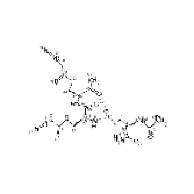 CC(=O)N[C@@H](CCC(=O)N[C@@H](CCC(=O)C=[N+]=[N-])C(=O)N[C@@H](CCC(=O)C=[N+]=[N-])C(N)=O)C(N)=O